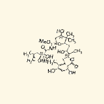 C=C(C)C[C@H](OC)[C@H](O)C(=O)NC(OC)[C@@H]1C[C@@H](O)C(C)(C)C(CC(O)[C@@H](C)C2Cc3c(C)c(O)cc(O)c3C(=O)O2)O1